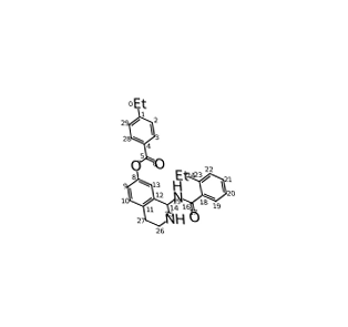 CCc1ccc(C(=O)Oc2ccc3c(c2)C(NC(=O)c2ccccc2CC)NCC3)cc1